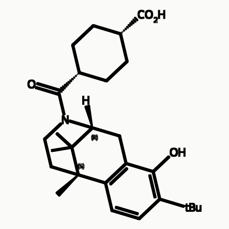 CC(C)(C)c1ccc2c(c1O)C[C@H]1N(C(=O)[C@H]3CC[C@@H](C(=O)O)CC3)CC[C@]2(C)C1(C)C